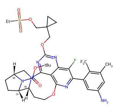 CCS(=O)(=O)OCC1(COc2nc3c4c(nc(-c5cc(N)cc(C)c5C(F)(F)F)c(F)c4n2)OCC[C@@H]2[C@@H]4CC[C@H](CN32)N4C(=O)OC(C)(C)C)CC1